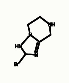 BrC1N=C2CNCCN2N1